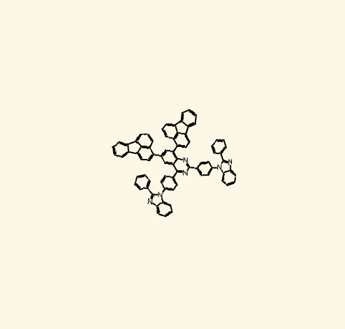 c1ccc(-c2nc3ccccc3n2-c2ccc(-c3nc(-c4ccc(-n5c(-c6ccccc6)nc6ccccc65)cc4)c4cc(-c5ccc6c7c(cccc57)-c5ccccc5-6)cc(-c5ccc6c7c(cccc57)-c5ccccc5-6)c4n3)cc2)cc1